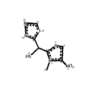 Cn1c([N+](=O)[O-])cnc1C(S)c1nncs1